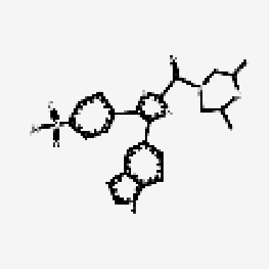 CC1CN(C(=O)c2nc(-c3ccc4[nH]ccc4c3)c(-c3ccc(S(N)(=O)=O)cc3)s2)CC(C)O1